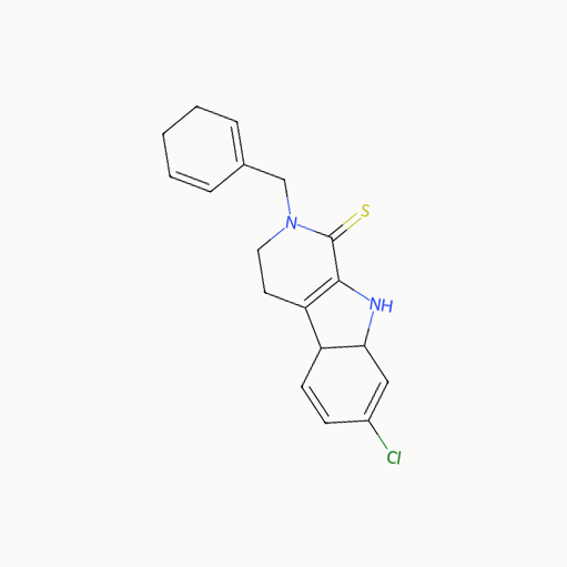 S=C1C2=C(CCN1CC1=CCCC=C1)C1C=CC(Cl)=CC1N2